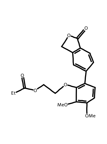 CCC(=O)OCCOc1c(-c2ccc3c(c2)COC3=O)ccc(OC)c1OC